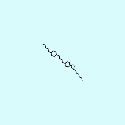 CCCCCCCOc1ccc(CCC=CC2CCC(CCCCC)CC2)cc1